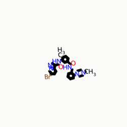 Cc1ccc(C(=O)NCc2ccccc2N2CCN(C)CC2)cc1NC(=O)c1cnn2cc(Br)ccc12